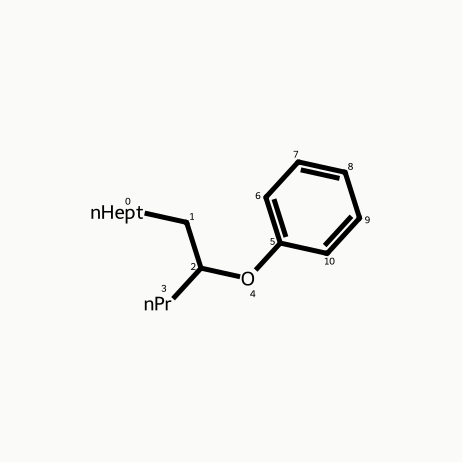 CCCCCCCCC(CCC)Oc1ccccc1